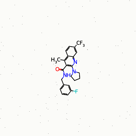 Cc1c(C(=O)NCc2cccc(F)c2)c(N2CCCC2)nc2cc(C(F)(F)F)ccc12